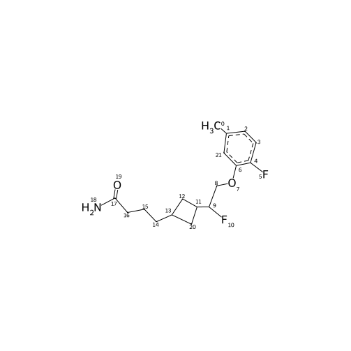 Cc1ccc(F)c(OCC(F)C2CC(CCCC(N)=O)C2)c1